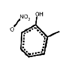 Cc1ccccc1O.[O][N+](=O)[O-]